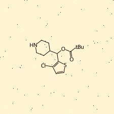 CC(C)(C)C(=O)OC(c1sccc1Cl)C1CCNCC1